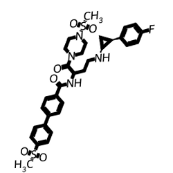 CS(=O)(=O)c1ccc(-c2ccc(C(=O)NC(CCN[C@@H]3C[C@H]3c3ccc(F)cc3)C(=O)N3CCN(S(C)(=O)=O)CC3)cc2)cc1